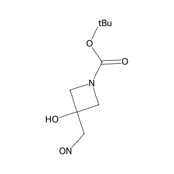 CC(C)(C)OC(=O)N1CC(O)(CN=O)C1